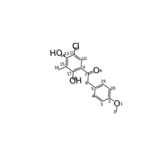 COc1ccc(CC(=O)c2cc(Cl)c(O)c(C)c2O)cc1